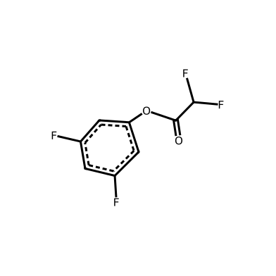 O=C(Oc1cc(F)cc(F)c1)C(F)F